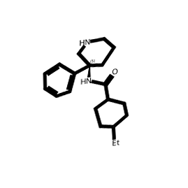 CCC1CCC(C(=O)N[C@]2(c3ccccc3)CCCNC2)CC1